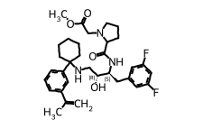 C=C(C)c1cccc(C2(NC[C@@H](O)[C@H](Cc3cc(F)cc(F)c3)NC(=O)C3CCCN3CC(=O)OC)CCCCC2)c1